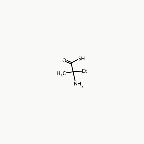 CCC(C)(N)C(=O)S